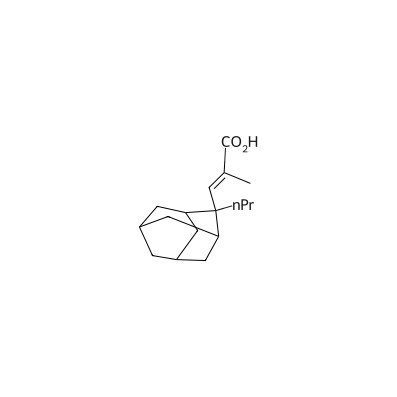 CCCC1(C=C(C)C(=O)O)C2CC3CC(C2)CC1C3